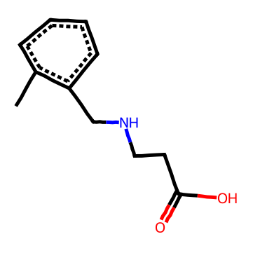 Cc1ccccc1CNCCC(=O)O